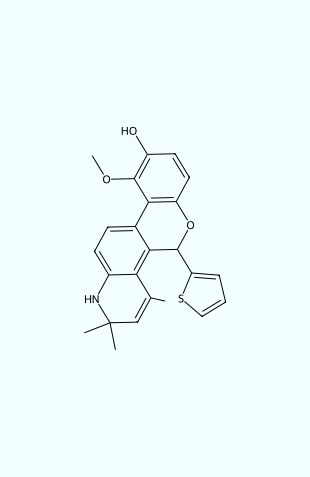 COc1c(O)ccc2c1-c1ccc3c(c1C(c1cccs1)O2)C(C)=CC(C)(C)N3